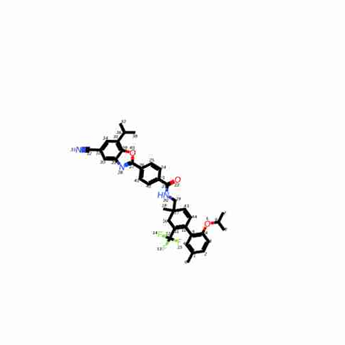 Cc1ccc(OC(C)C)c(C2=C(C(F)(F)F)CC(C)(CNC(=O)c3ccc(-c4nc5cc(C#N)cc(C(C)C)c5o4)cc3)C=C2)c1